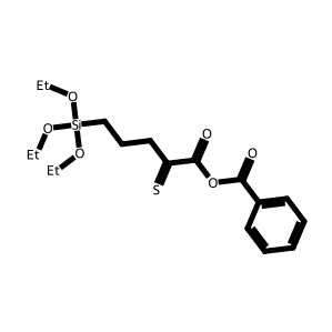 CCO[Si](CCCC(=S)C(=O)OC(=O)c1ccccc1)(OCC)OCC